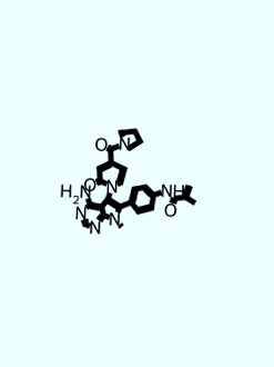 C=C(C)C(=O)Nc1ccc(-c2c(-n3ccc(C(=O)N4CCCC4)cc3=O)c3c(N)ncnc3n2C)cc1